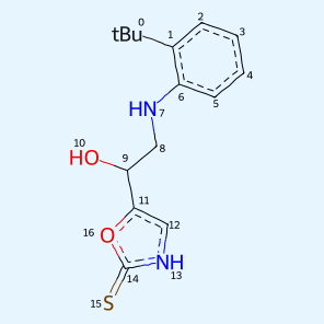 CC(C)(C)c1ccccc1NCC(O)c1c[nH]c(=S)o1